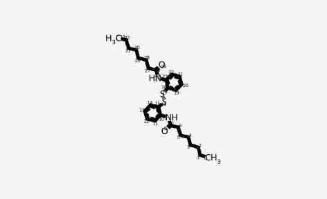 CCCCCCCC(=O)Nc1ccccc1SSc1ccccc1NC(=O)CCCCCCC